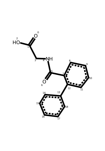 O=C(O)CNC(=O)c1ccccc1-c1ccccc1